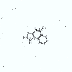 [O-][n+]1nc2c(c3ccccc31)NNC2